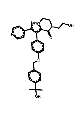 CC(C)(O)c1ccc(COc2ccc(-c3c(-c4ccncc4)nn4c3C(=O)N(CCO)CC4)cc2)cc1